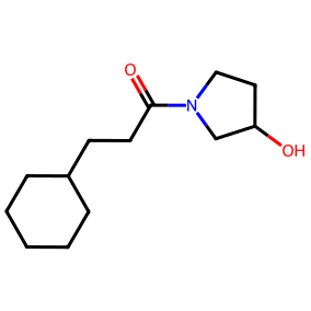 O=C(CCC1CCCCC1)N1CCC(O)C1